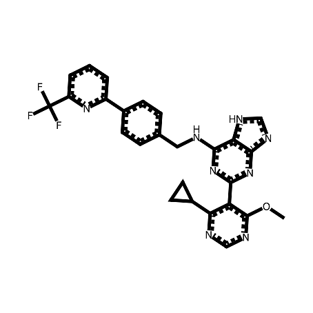 COc1ncnc(C2CC2)c1-c1nc(NCc2ccc(-c3cccc(C(F)(F)F)n3)cc2)c2[nH]cnc2n1